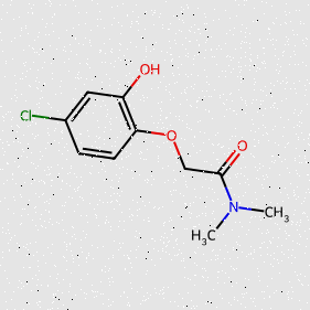 CN(C)C(=O)COc1ccc(Cl)cc1O